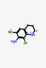 N#Cc1cc2c(c(Br)c1N)NCCC2